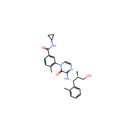 Cc1ccccc1[C@H](Nc1nccn(-c2cc(C(=O)NC3CC3)ccc2C)c1=O)[C@@H](C)CO